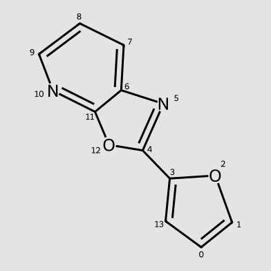 c1coc(-c2nc3cccnc3o2)c1